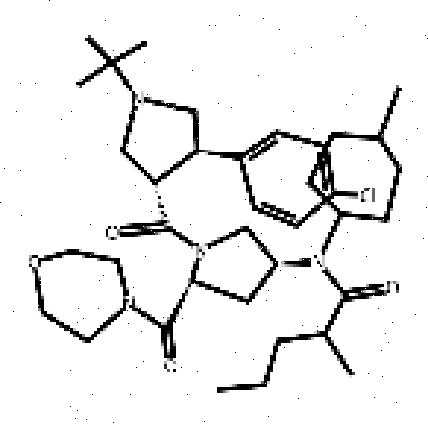 CCCC(C)C(=O)N(C1CCC(C)CC1)[C@H]1C[C@@H](C(=O)N2CCOCC2)N(C(=O)[C@@H]2CN(C(C)(C)C)C[C@H]2c2ccc(Cl)cc2)C1